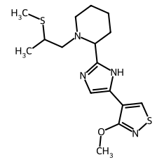 COc1nscc1-c1cnc(C2CCCCN2CC(C)SC)[nH]1